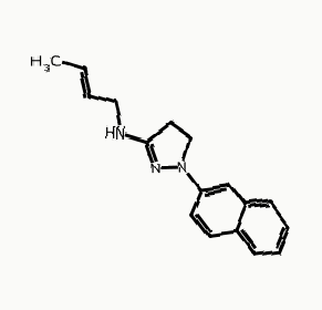 C/C=C/CNC1=NN(c2ccc3ccccc3c2)CC1